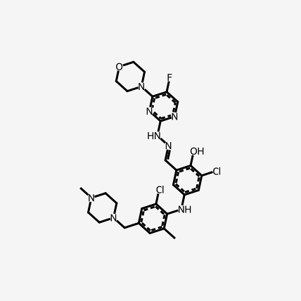 Cc1cc(CN2CCN(C)CC2)cc(Cl)c1Nc1cc(Cl)c(O)c(/C=N/Nc2ncc(F)c(N3CCOCC3)n2)c1